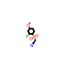 COc1ccc(S(=O)(=O)CC#N)c(F)c1